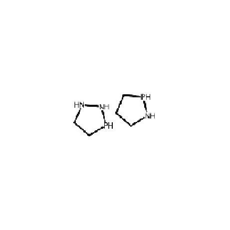 C1CNPC1.C1CPNN1